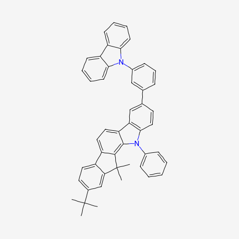 CC(C)(C)c1ccc2c(c1)C(C)(C)c1c-2ccc2c3cc(-c4cccc(-n5c6ccccc6c6ccccc65)c4)ccc3n(-c3ccccc3)c12